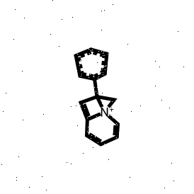 C1=CC2=CC3(c4ccccc4)C[N+]23C=C1